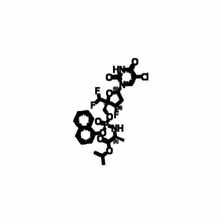 CC(C)OC(=O)[C@H](C)NP(=O)(OC[C@@]1(C(F)F)O[C@@H](n2cc(Cl)c(=O)[nH]c2=O)C[C@H]1F)Oc1cccc2ccccc12